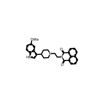 COc1ccc2[nH]cc(C3CCN(CCN4C(=O)c5cccc6cccc(c56)C4=O)CC3)c2c1